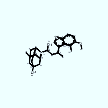 COc1ccc2[nH]cc(C(C)CC(O)N3C4CC5(C)CC3CC(O)(C4)C5)c2c1F